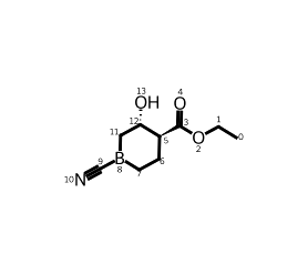 CCOC(=O)[C@H]1CCB(C#N)C[C@@H]1O